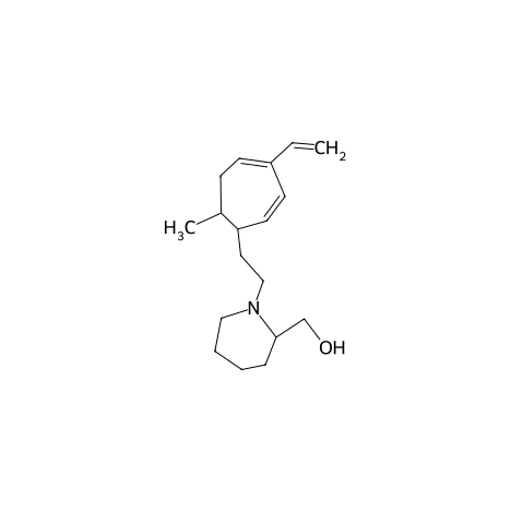 C=CC1=CCC(C)C(CCN2CCCCC2CO)C=C1